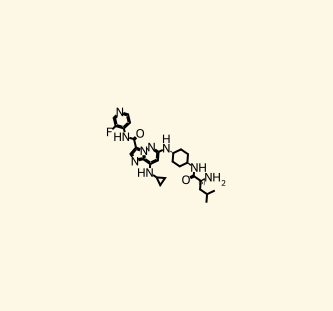 CC(C)C[C@H](N)C(=O)N[C@H]1CC[C@H](Nc2cc(NC3CC3)c3ncc(C(=O)Nc4ccncc4F)n3n2)CC1